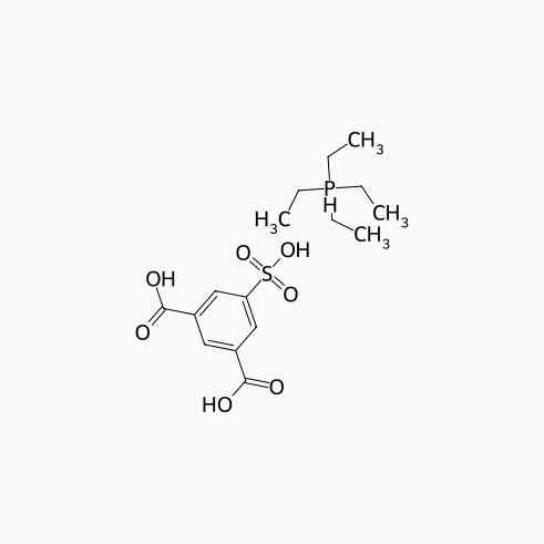 CC[PH](CC)(CC)CC.O=C(O)c1cc(C(=O)O)cc(S(=O)(=O)O)c1